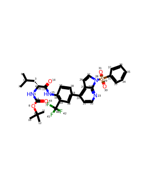 CC(C)C[C@@H](NC(=O)OC(C)(C)C)C(=O)Nc1ccc(-c2ccnc3c2ccn3S(=O)(=O)c2ccccc2)cc1C(F)(F)F